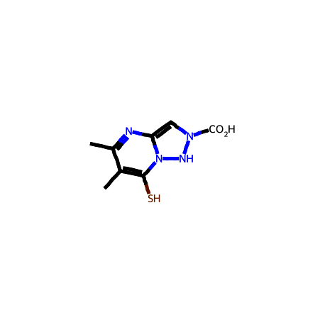 CC1=NC2=CN(C(=O)O)NN2C(S)=C1C